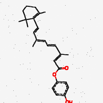 CC(C=CC1=C(C)CCCC1(C)C)=CC=CC(C)=CC(=O)Oc1ccc(O)cc1